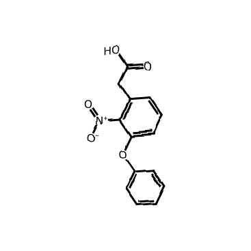 O=C(O)Cc1cccc(Oc2ccccc2)c1[N+](=O)[O-]